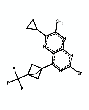 Cc1nc2nc(Br)nc(C34CC(C(F)(F)F)(C3)C4)c2nc1C1CC1